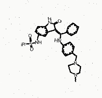 CC(C)S(=O)(=O)Nc1ccc2c(c1)/C(=C(\Nc1ccc(CN3CCN(C)CC3)cc1)c1ccccc1)C(=O)N2